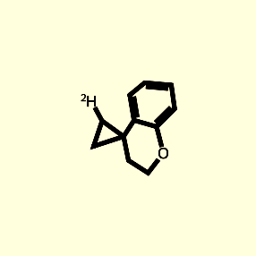 [2H]C1CC12CCOc1ccccc12